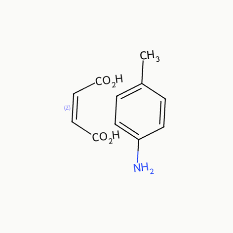 Cc1ccc(N)cc1.O=C(O)/C=C\C(=O)O